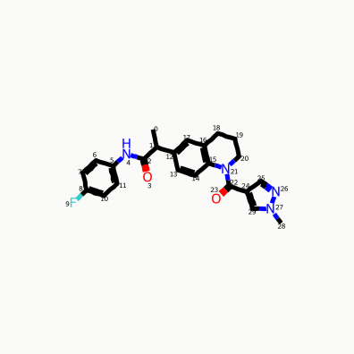 CC(C(=O)Nc1ccc(F)cc1)c1ccc2c(c1)CCCN2C(=O)c1cnn(C)c1